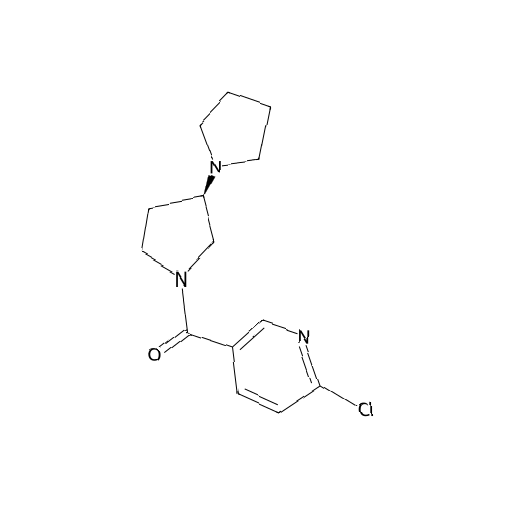 O=C(c1ccc(Cl)nc1)N1CC[C@@H](N2CCCC2)C1